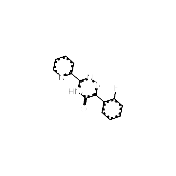 O=c1[nH]c(-c2ccccn2)nnc1-c1ccccc1F